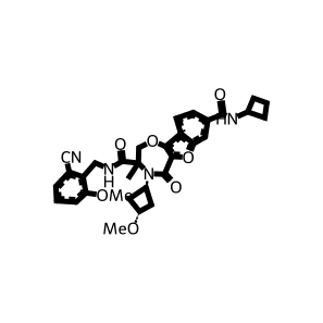 COc1cccc(C#N)c1CNC(=O)C1(C)COc2c(oc3cc(C(=O)NC4CCC4)ccc23)C(=O)N1[C@H]1C[C@@H](OC)C1